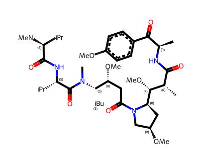 CC[C@H](C)[C@@H]([C@@H](CC(=O)N1C[C@H](OC)C[C@@H]1[C@H](OC)[C@@H](C)C(=O)N[C@H](C)C(=O)c1ccc(OC)cc1)OC)N(C)C(=O)[C@@H](NC(=O)[C@@H](NC)C(C)C)C(C)C